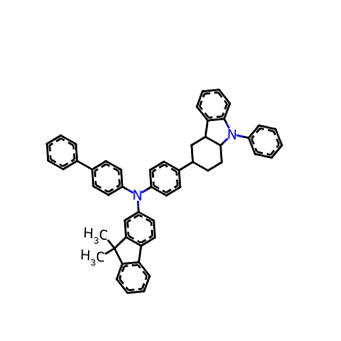 CC1(C)c2ccccc2-c2ccc(N(c3ccc(-c4ccccc4)cc3)c3ccc(C4CCC5C(C4)c4ccccc4N5c4ccccc4)cc3)cc21